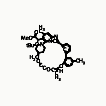 COC(=O)[C@@H](OC(C)(C)C)c1c(C)cc2nc3cn2c1N1CCC(C)(CC1)OCCOC[C@H](C)Oc1ccc(C)cc1-c1cccc-3c1